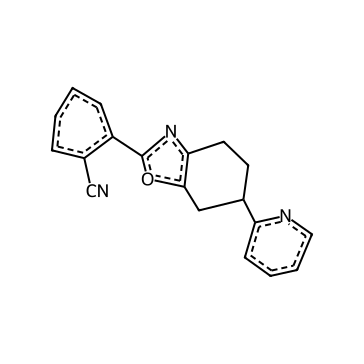 N#Cc1ccccc1-c1nc2c(o1)CC(c1ccccn1)CC2